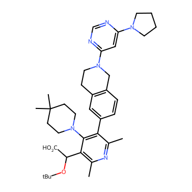 Cc1nc(C)c(C(OC(C)(C)C)C(=O)O)c(N2CCC(C)(C)CC2)c1-c1ccc2c(c1)CCN(c1cc(N3CCCC3)ncn1)C2